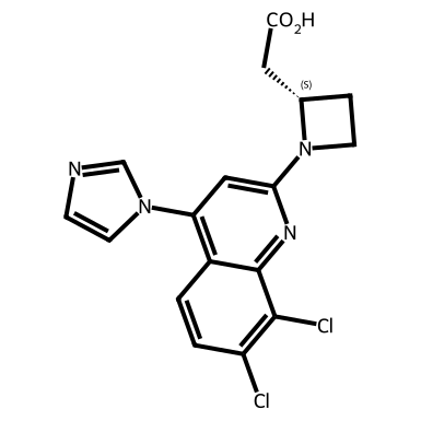 O=C(O)C[C@@H]1CCN1c1cc(-n2ccnc2)c2ccc(Cl)c(Cl)c2n1